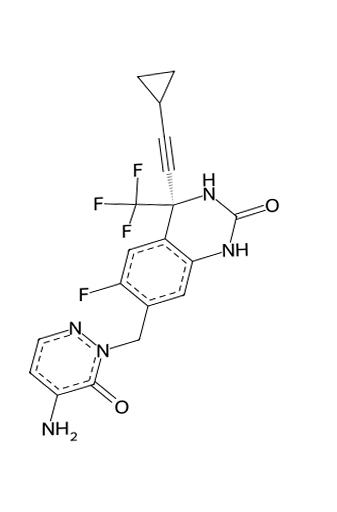 Nc1ccnn(Cc2cc3c(cc2F)[C@@](C#CC2CC2)(C(F)(F)F)NC(=O)N3)c1=O